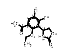 CCOc1c(C(C)=O)cc(Cl)c(F)c1C1COC(=O)N1